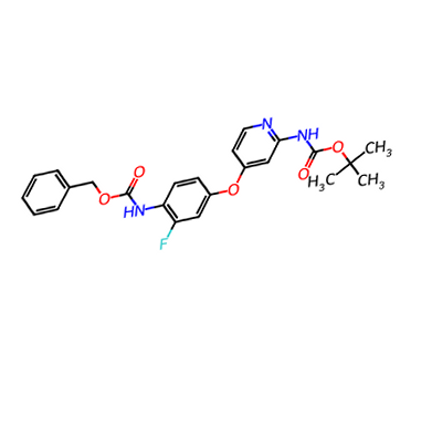 CC(C)(C)OC(=O)Nc1cc(Oc2ccc(NC(=O)OCc3ccccc3)c(F)c2)ccn1